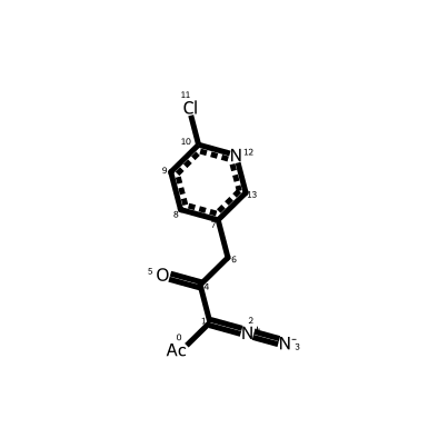 CC(=O)C(=[N+]=[N-])C(=O)Cc1ccc(Cl)nc1